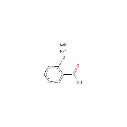 O=C(O)c1ccccc1[O-].[Na+].[NaH]